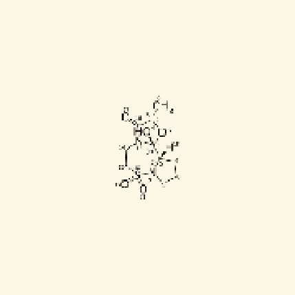 C[C@@H]1O[C@]2(O)[C@@H]3CCCN3S(=O)(=O)CCN2C1=O